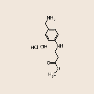 COC(=O)CCNc1ccc(CN)cc1.Cl.Cl